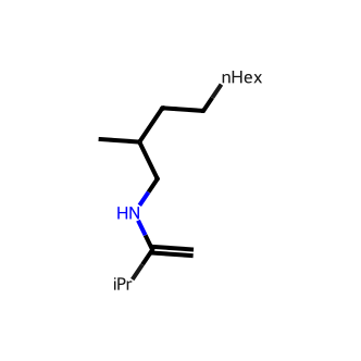 C=C(NCC(C)CCCCCCCC)C(C)C